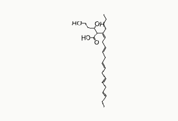 CCC=CCC=CCC=CCC=CCC=C(CCCC)C(C(=O)O)[C@H](O)CCO